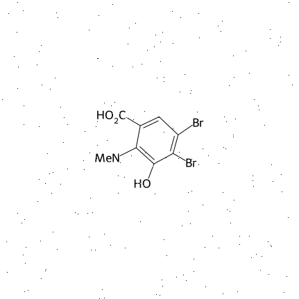 CNc1c(C(=O)O)cc(Br)c(Br)c1O